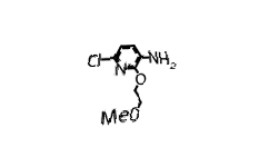 COCCOc1nc(Cl)ccc1N